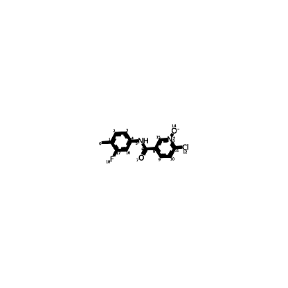 Cc1ccc(NC(=O)c2ccc(Cl)[n+]([O-])c2)cc1F